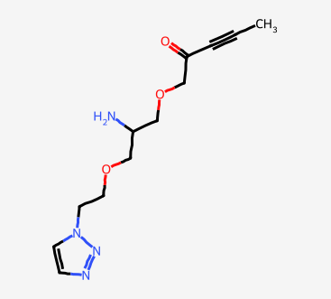 CC#CC(=O)COCC(N)COCCn1ccnn1